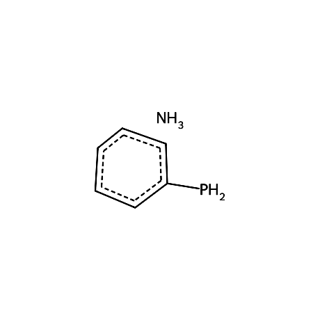 N.Pc1ccccc1